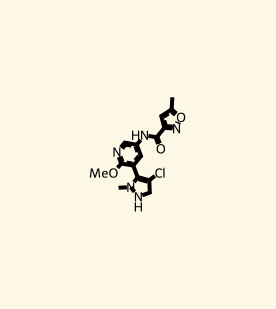 COc1ncc(NC(=O)c2cc(C)on2)cc1C1=C(Cl)CNN1C